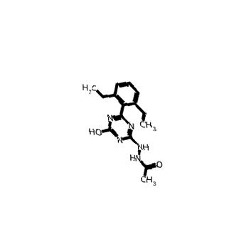 CCc1cccc(CC)c1-c1nc(O)nc(NNC(C)=O)n1